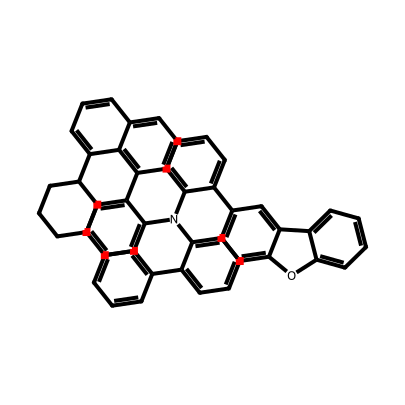 c1ccc(-c2ccccc2N(c2ccccc2-c2ccc3oc4ccccc4c3c2)c2ccccc2-c2cccc3cccc(C4CCCCC4)c23)cc1